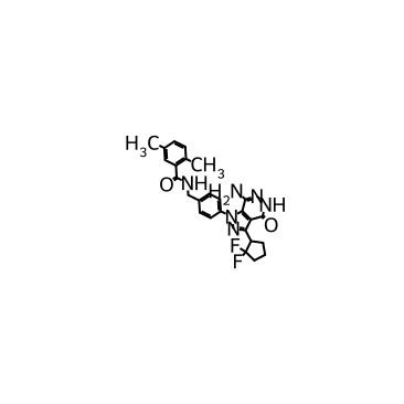 Cc1ccc(C)c(C(=O)NCc2ccc(-n3nc(C4CCCC4(F)F)c4c(=O)[nH]nc(N)c43)cc2)c1